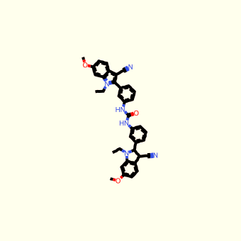 CCN1c2cc(OC)ccc2C(C#N)C1c1cccc(NC(=O)Nc2cccc(-c3c(C#N)c4ccc(OC)cc4n3CC)c2)c1